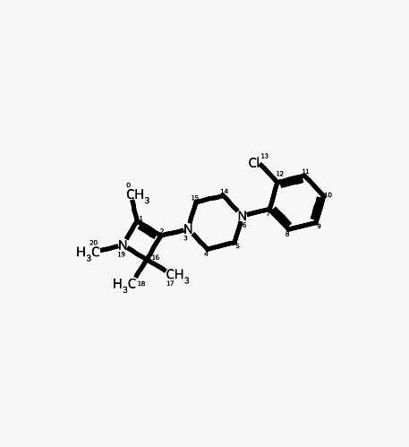 CC1=C(N2CCN(c3ccccc3Cl)CC2)C(C)(C)N1C